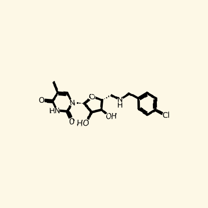 Cc1cn([C@@H]2O[C@H](CNCc3ccc(Cl)cc3)C(O)C2O)c(=O)[nH]c1=O